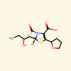 CC[C@H](O)[C@@H]1C(=O)N2C(C(=O)O)=C(C3CCCO3)S[C@H]12